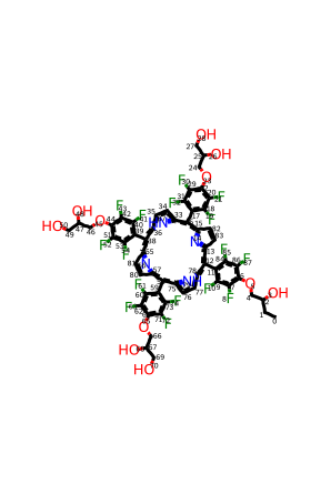 CCC(O)COc1c(F)c(F)c(-c2c3nc(c(-c4c(F)c(F)c(OCC(O)CO)c(F)c4F)c4ccc([nH]4)c(-c4c(F)c(F)c(OCC(O)CO)c(F)c4F)c4nc(c(-c5c(F)c(F)c(OCC(O)CO)c(F)c5F)c5ccc2[nH]5)C=C4)C=C3)c(F)c1F